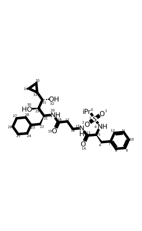 CC(C)S(=O)(=O)N[C@@H](Cc1ccccc1)C(=O)NCCC(=O)N[C@@H](CC1CCCCC1)[C@@H](O)[C@@H](O)C1CC1